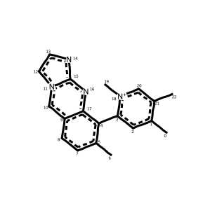 Cc1cc(-c2c(C)ccc3cn4ccnc4nc23)[n+](C)cc1C